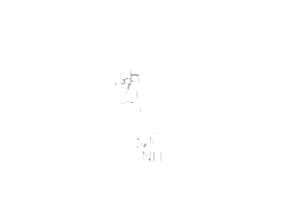 C[C@H]1CNCCN1[C@H]1CC[C@H](COc2ccc(S(C)(=O)=O)cc2F)CC1